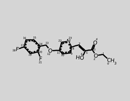 CCOC(=O)C(O)=Cc1ccc(OCc2ccc(F)cc2F)cn1